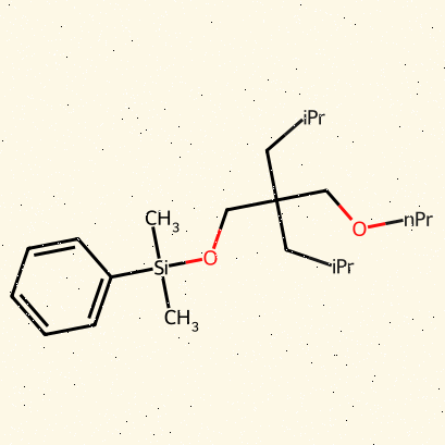 CCCOCC(CO[Si](C)(C)c1ccccc1)(CC(C)C)CC(C)C